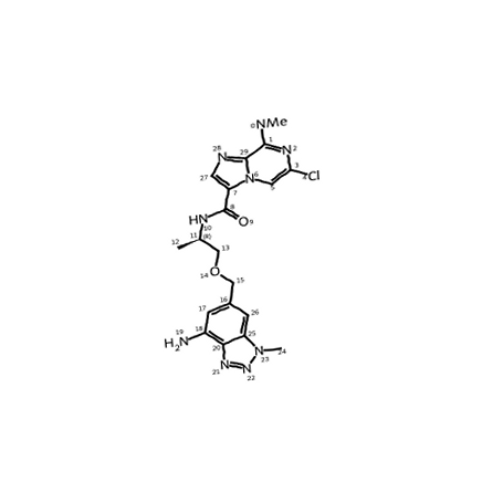 CNc1nc(Cl)cn2c(C(=O)N[C@H](C)COCc3cc(N)c4nnn(C)c4c3)cnc12